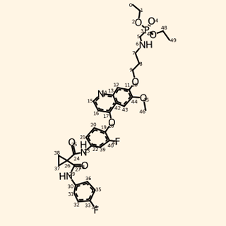 CCOP(=O)(CNCCCOc1cc2nccc(Oc3ccc(NC(=O)C4(C(=O)Nc5ccc(F)cc5)CC4)cc3F)c2cc1OC)OCC